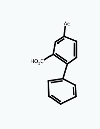 CC(=O)c1ccc(-c2ccccc2)c(C(=O)O)c1